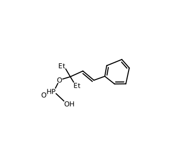 CCC(C=Cc1ccccc1)(CC)O[PH](=O)O